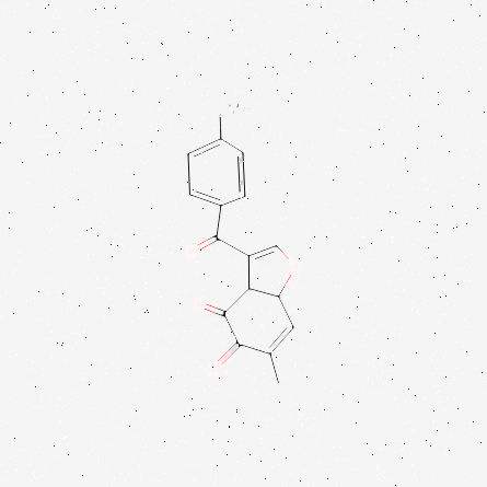 COc1ccc(C(=O)C2=COC3C=C(C)C(=O)C(=O)C23)cc1